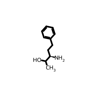 CC(O)[C@H](N)CCc1ccccc1